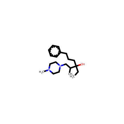 CCC(O)(CCCc1ccccc1)C(C)CN1CCN(C)CC1